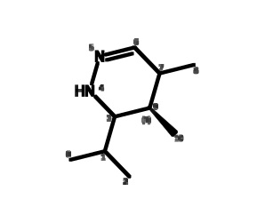 CC(C)C1NN=CC(C)[C@H]1C